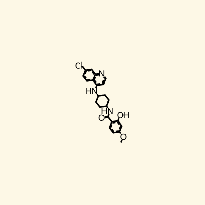 COc1ccc(C(=O)NC2CCC(Nc3ccnc4cc(Cl)ccc34)CC2)c(O)c1